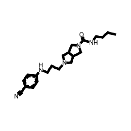 CCCCNC(=O)N1CC2CN(CCCNc3ccc(C#N)cc3)CC2C1